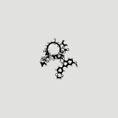 CCC(C)N(C(=O)O)[C@@H]1C(=O)N2[C@@H](C[C@@](C)(Oc3nc(-c4ccc5c(c4)OCCO5)cc4cc(OC)ccc34)C2(F)F)C(=O)N[C@]2(C(=O)NS(=O)(=O)C3(C)CC3)C[C@H]2/C=C\CC[C@@H](C)C[C@H]1C